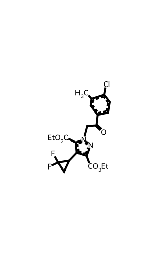 CCOC(=O)c1nn(CC(=O)c2ccc(Cl)c(C)c2)c(C(=O)OCC)c1C1CC1(F)F